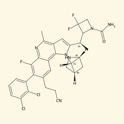 Cc1nc2c(F)c(-c3cccc(Cl)c3Cl)c(CCC#N)cc2c2c1cc([C@H](C)C1N(C(N)=O)CC1(F)F)n2[C@H]1[C@H]2CN[C@@H]1C2